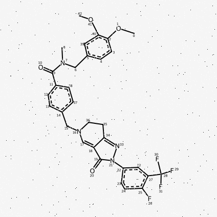 COc1ccc(CN(C)C(=O)c2ccc(CN3C=C4C(=O)N(c5ccc(F)c(C(F)(F)F)c5)N=C4CC3)cc2)cc1OC